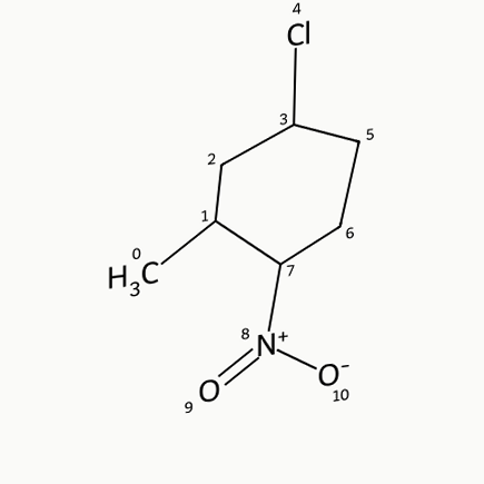 CC1CC(Cl)CCC1[N+](=O)[O-]